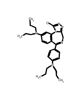 CCCN(CCC)c1ccc(C2=NCc3nnc(Cl)n3-c3cc(N(CCC)CCC)ccc32)cc1